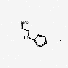 CSCCNc1[c]cccn1